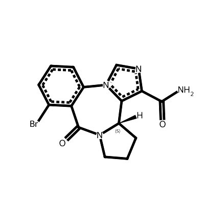 NC(=O)c1ncn2c1[C@@H]1CCCN1C(=O)c1c(Br)cccc1-2